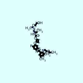 C=C/C(=C\N=C(/C)OCCO)NC(=O)OC1CCC1Oc1cc2sc(-c3cc(C)cc(C)c3/N=C\C(=C)OCC)nc2cc1F